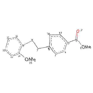 COC(=O)c1ccc(CCc2ccccc2OC)cc1